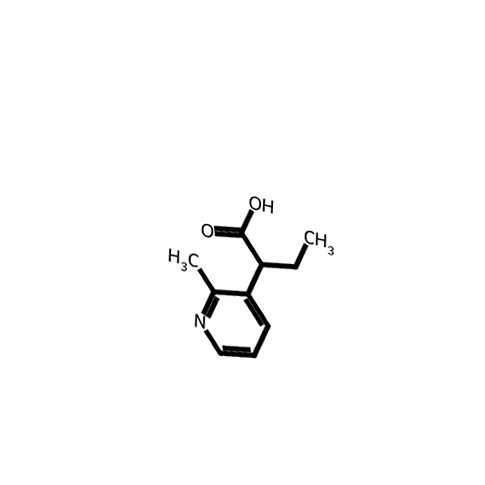 CCC(C(=O)O)c1cccnc1C